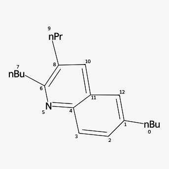 CCCCc1ccc2nc(CCCC)c(CCC)cc2c1